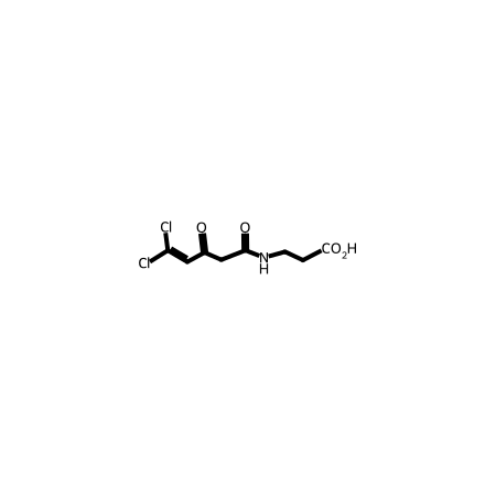 O=C(O)CCNC(=O)CC(=O)C=C(Cl)Cl